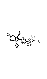 CC(C)NS(=O)(=O)c1cnc(-c2c(C#N)c3cc(Cl)ccc3n2C2CCC2)nc1